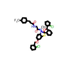 CN(C(=O)CNC(=O)/C=C/c1ccc(C(F)(F)F)cc1)N1c2ccc(OCc3ccccc3Cl)cc2SC1(OCc1ccccc1Cl)c1ccccc1